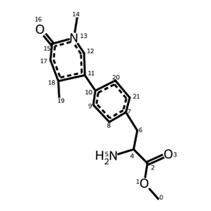 COC(=O)C(N)Cc1ccc(-c2cn(C)c(=O)cc2C)cc1